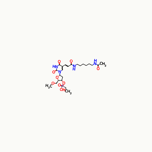 CCP(=O)(O)O[C@@H]1C[C@H](n2cc(/C=C/C(=O)NCCCCCCNC(C)=O)c(=O)[nH]c2=O)O[C@@H]1COC